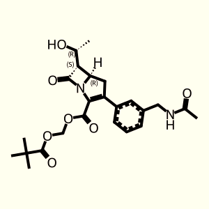 CC(=O)NCc1cccc(C2=C(C(=O)OCOC(=O)C(C)(C)C)N3C(=O)[C@H]([C@@H](C)O)[C@H]3C2)c1